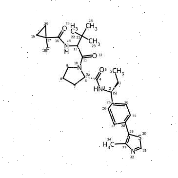 CC[C@H](NC(=O)[C@@H]1CCCN1C(=O)C(NC(=O)C1(F)CC1)C(C)(C)C)c1ccc(-c2scnc2C)cc1